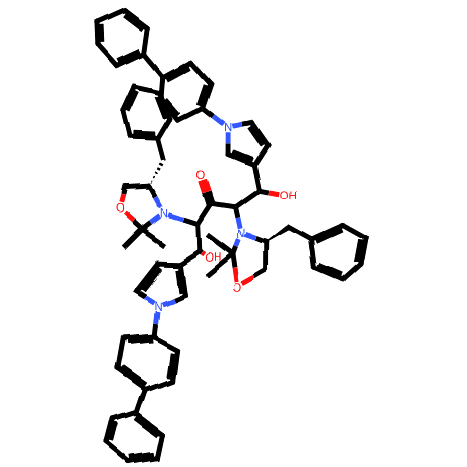 CC1(C)OC[C@H](Cc2ccccc2)N1C(C(=O)C(C(O)c1ccn(-c2ccc(-c3ccccc3)cc2)c1)N1[C@@H](Cc2ccccc2)COC1(C)C)C(O)c1ccn(-c2ccc(-c3ccccc3)cc2)c1